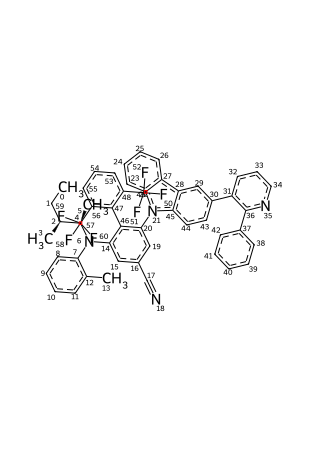 CC[C@H](C)[C@@H](C)N(c1ccccc1C)c1cc(C#N)cc(-n2c3ccccc3c3cc(-c4cccnc4-c4ccccc4)ccc32)c1-c1c(C(F)(F)F)cccc1C(F)(F)F